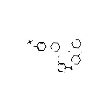 CO[C@@H]1COCC[C@@H]1NC1CCN(C(=O)c2cc(NC[C@H]3CCC[C@@H](C4C=CC(OC(F)(F)F)=CC4)O3)ncn2)CC1